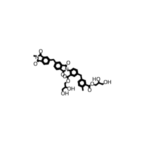 Cc1ccc(Cc2ccc(N3C(=O)c4ccc(Cc5ccc6c(c5)C(=O)N(C)C6=O)cc4C3=O)c(C(=O)OCC(O)CO)c2)cc1C(=O)OCC(O)CO